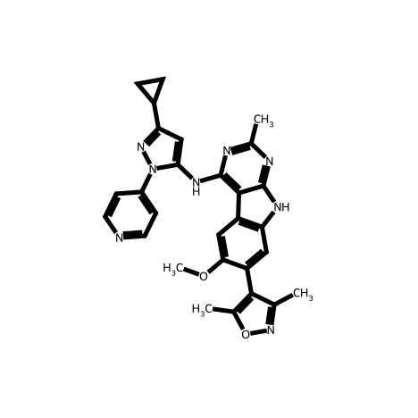 COc1cc2c(cc1-c1c(C)noc1C)[nH]c1nc(C)nc(Nc3cc(C4CC4)nn3-c3ccncc3)c12